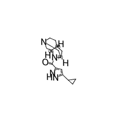 O=C(c1cc(C2CC2)[nH]n1)N1[C@@H]2C[C@H]3CCN(C2)C[C@H]31